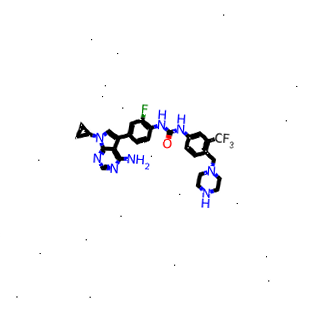 Nc1ncnc2c1c(-c1ccc(NC(=O)Nc3ccc(CN4CCNCC4)c(C(F)(F)F)c3)c(F)c1)cn2C1CC1